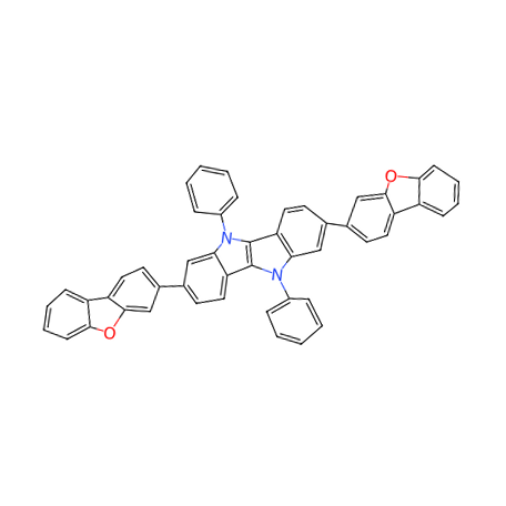 c1ccc(-n2c3cc(-c4ccc5c(c4)oc4ccccc45)ccc3c3c2c2ccc(-c4ccc5c(c4)oc4ccccc45)cc2n3-c2ccccc2)cc1